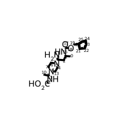 CC(CC(N)N1CCN(C(C)NC(=O)O)CC1)NC(=O)OCc1ccccc1